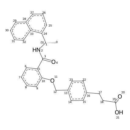 C[C@H](NC(=O)c1ccccc1OCc1ccc(CCC(=O)O)cc1)c1cccc2ccccc12